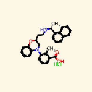 Cc1c(C(=O)O)cccc1N1CC(CCN[C@H](C)c2cccc3ccccc23)Oc2ccccc21.Cl